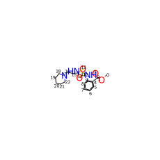 COC(=O)c1ccccc1NS(=O)(=O)NCCN1CCCCC1